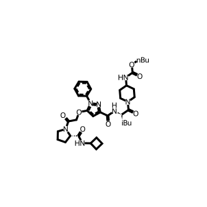 CCCCOC(=O)NC1CCN(C(=O)[C@@H](NC(=O)c2cc(OCC(=O)N3CCC[C@H]3C(=O)NC3CCC3)n(-c3ccccc3)n2)[C@@H](C)CC)CC1